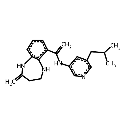 C=C1CCNc2c(cccc2C(=C)Nc2cncc(CC(C)C)c2)N1